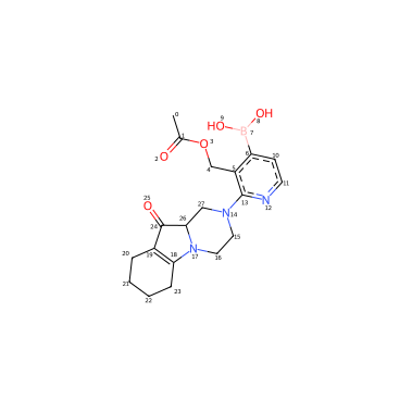 CC(=O)OCc1c(B(O)O)ccnc1N1CCN2C3=C(CCCC3)C(=O)C2C1